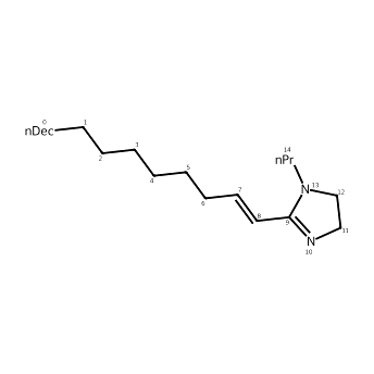 CCCCCCCCCCCCCCCC/C=C/C1=NCCN1CCC